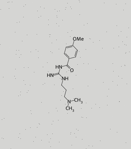 COc1ccc(C(=O)NC(=N)NCCCN(C)C)cc1